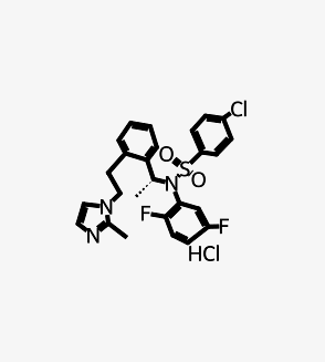 Cc1nccn1CCc1ccccc1[C@@H](C)N(c1cc(F)ccc1F)S(=O)(=O)c1ccc(Cl)cc1.Cl